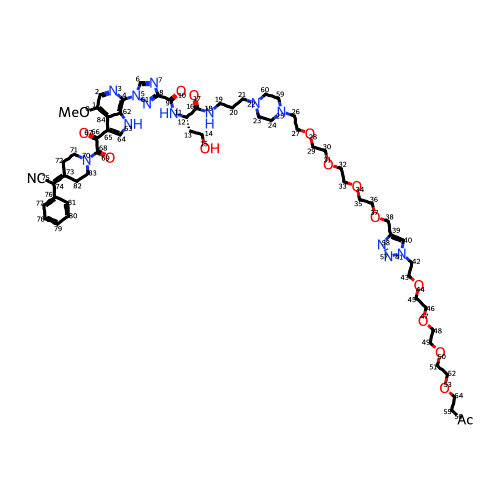 COc1cnc(-n2cnc(C(=O)N[C@@H](CCO)C(=O)NCCCN3CCN(CCOCCOCCOCCOCc4cn(CCOCCOCCOCCOCCC(C)=O)nn4)CC3)n2)c2[nH]cc(C(=O)C(=O)N3CCC(=C(C#N)c4ccccc4)CC3)c12